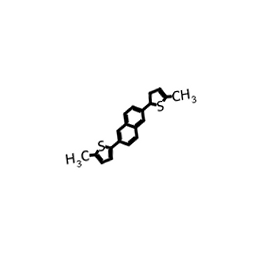 CC1=CCC(c2ccc3cc(-c4ccc(C)s4)ccc3c2)S1